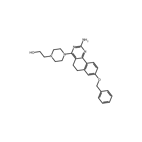 Nc1nc2c(c(N3CCN(CCO)CC3)n1)CCc1cc(OCc3ccccc3)ccc1-2